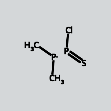 C[P]C.S=PCl